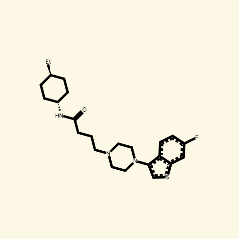 CC[C@H]1CC[C@H](NC(=O)CCCN2CCN(c3csc4cc(F)ccc34)CC2)CC1